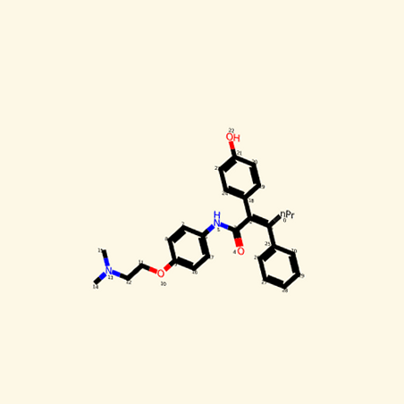 CCCC(=C(C(=O)Nc1ccc(OCCN(C)C)cc1)c1ccc(O)cc1)c1ccccc1